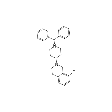 Fc1cccc2c1CN(C1CCN(C(c3ccccc3)c3ccccc3)CC1)CC2